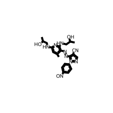 Cc1cc(NCC(C)O)nc(NCC(C)O)c1N=Nc1c(C#N)cnn1-c1ccc(N=O)cc1